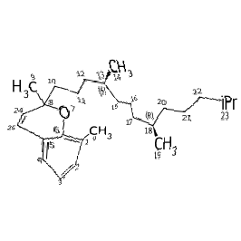 Cc1c[c]cc2c1OC(C)(CCC[C@@H](C)CCC[C@H](C)CCCC(C)C)C=C2